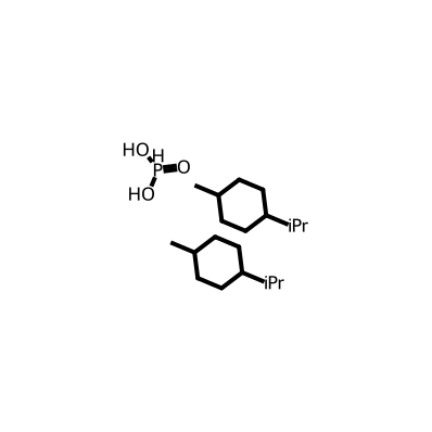 CC1CCC(C(C)C)CC1.CC1CCC(C(C)C)CC1.O=[PH](O)O